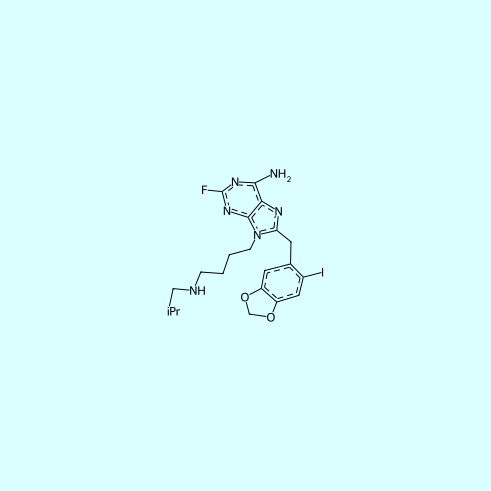 CC(C)CNCCCCn1c(Cc2cc3c(cc2I)OCO3)nc2c(N)nc(F)nc21